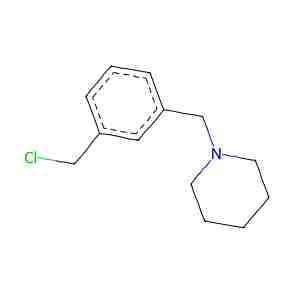 ClCc1cccc(CN2CCCCC2)c1